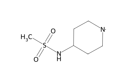 CS(=O)(=O)NC1CC[N]CC1